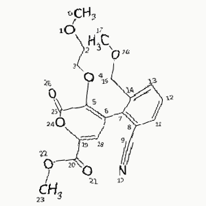 COCCOc1c(-c2c(C#N)cccc2COC)cc(C(=O)OC)oc1=O